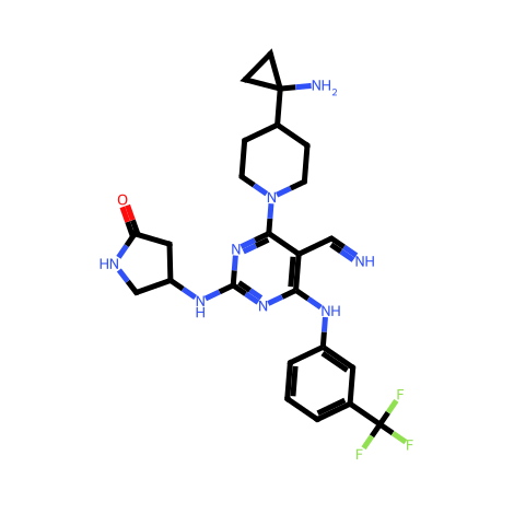 N=Cc1c(Nc2cccc(C(F)(F)F)c2)nc(NC2CNC(=O)C2)nc1N1CCC(C2(N)CC2)CC1